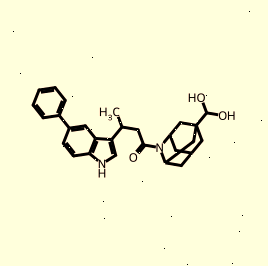 CC(CC(=O)N1C2CC3CC1CC(C(O)O)(C3)C2)c1c[nH]c2ccc(-c3ccccc3)cc12